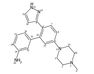 CN1CCN(c2ccc(-c3cc[nH]n3)c(-c3cccc(N)c3)c2)CC1